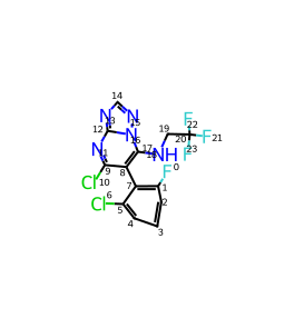 Fc1cccc(Cl)c1-c1c(Cl)nc2ncnn2c1NCC(F)(F)F